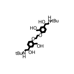 CC(C)(C)NCC(O)c1ccc(OCCOc2ccc(C(O)CNC(C)(C)C)cc2CO)c(CO)c1